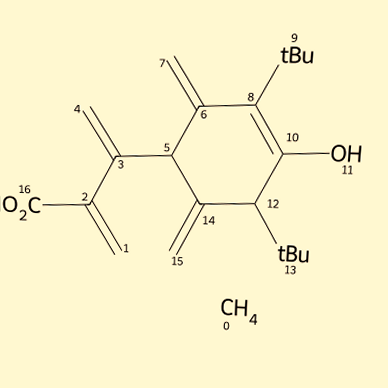 C.C=C(C(=C)C1C(=C)C(C(C)(C)C)=C(O)C(C(C)(C)C)C1=C)C(=O)O